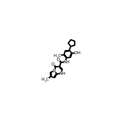 Cc1cc2[nH]cc(C(=O)Nc3cc(O)c(C4CCCC4)cc3C)c(=O)n2c1